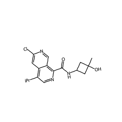 CC(C)c1cnc(C(=O)NC2CC(C)(O)C2)c2cnc(Cl)cc12